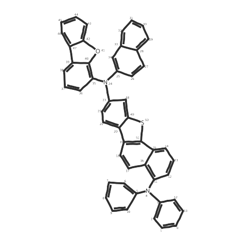 c1ccc(N(c2ccccc2)c2cccc3c2ccc2c4ccc(N(c5ccc6ccccc6c5)c5cccc6c5oc5ccccc56)cc4sc32)cc1